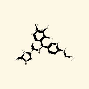 O=C1NC[C@@H](C(=O)N[C@H](c2ccc(OCC(F)(F)F)nc2)c2ccc(F)c(Cl)c2F)O1